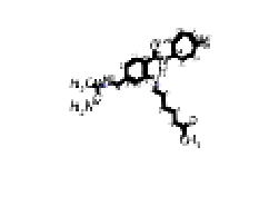 CC(=O)CCCC/C=N/c1cc(C/N=C(/C)ON)ccc1C(=O)NC1C=CC=C(F)C=C1